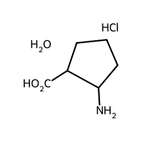 Cl.NC1CCCC1C(=O)O.O